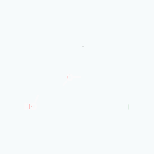 CCc1ccc(Cl)cc1OCCO